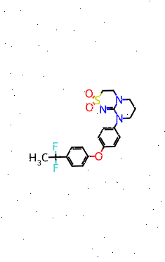 CC(F)(F)c1ccc(Oc2ccc(N3CCCN4CCS(=O)(=O)N=C43)cc2)cc1